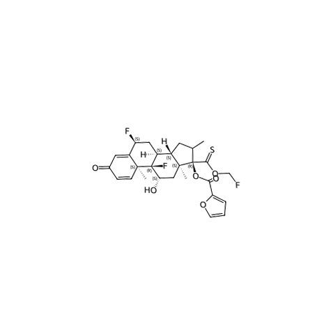 CC1C[C@H]2[C@@H]3C[C@H](F)C4=CC(=O)C=C[C@]4(C)[C@@]3(F)[C@@H](O)C[C@]2(C)[C@@]1(OC(=O)c1ccco1)C(=S)OCF